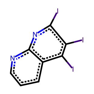 Ic1nc2ncccc2c(I)c1I